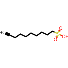 C#CCCCCCCCCS(=O)(=O)O